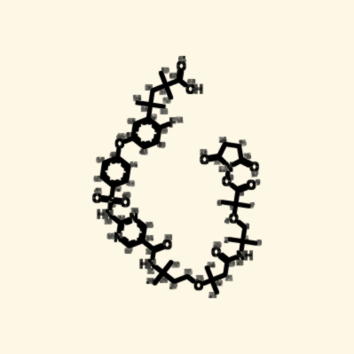 CC(C)(COC(C)(C)C(=O)ON1C(=O)CCC1=O)NC(=O)CC(C)(C)OCCC(C)(C)NC(=O)c1cnc(NS(=O)(=O)c2ccc(Oc3ccc(F)c(C(C)(C)CC(C)(C)C(=O)O)c3)cc2)nc1